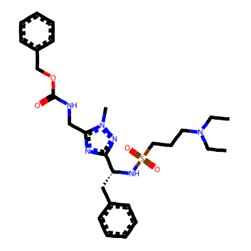 CCN(CC)CCCS(=O)(=O)N[C@H](Cc1ccccc1)c1nc(CNC(=O)OCc2ccccc2)n(C)n1